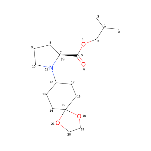 CC(C)COC(=O)[C@@H]1CCCN1C1CCC2(CC1)OCCO2